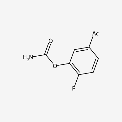 CC(=O)c1ccc(F)c(OC(N)=O)c1